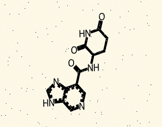 O=C1CCC(NC(=O)c2cncc3[nH]cnc23)C(=O)N1